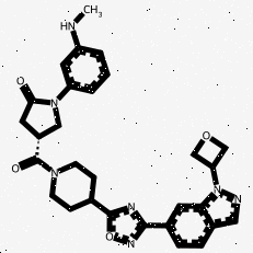 CNc1cccc(N2C[C@H](C(=O)N3CCC(c4nc(-c5ccc6cnn(C7COC7)c6c5)no4)CC3)CC2=O)c1